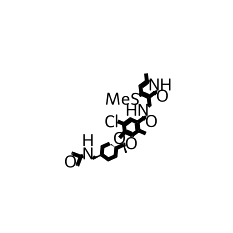 CSc1cc(C)[nH]c(=O)c1CNC(=O)c1cc(Cl)c2c(c1C)O[C@](C)([C@H]1CC[C@H](CNC3COC3)CC1)O2